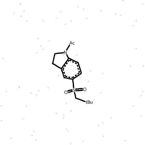 CC(=O)N1CCc2cc(S(=O)(=O)CC(C)(C)C)ccc21